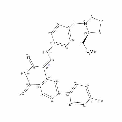 COC[C@@H]1CCCN1Cc1ccc(N/C=C2\C(=O)NC(=O)c3ccc(-c4ccc(F)cc4)cc32)cc1